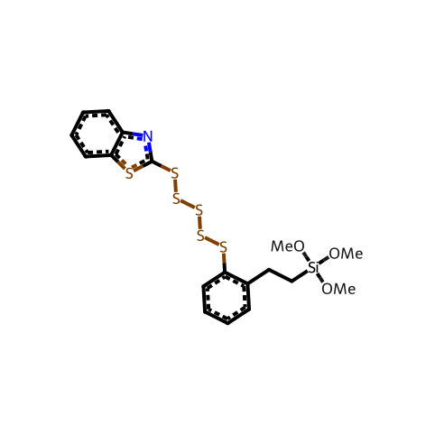 CO[Si](CCc1ccccc1SSSSSc1nc2ccccc2s1)(OC)OC